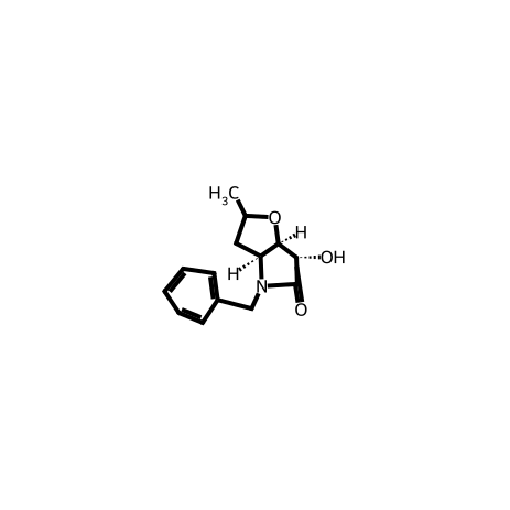 CC1C[C@H]2[C@@H](O1)[C@H](O)C(=O)N2Cc1ccccc1